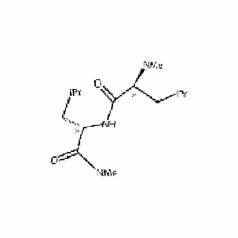 CNC(=O)[C@H](CC(C)C)NC(=O)[C@H](CC(C)C)NC